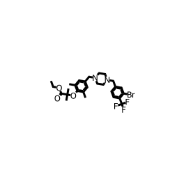 CCOC(=O)C(C)(C)Oc1c(C)cc(CN2CCN(Cc3ccc(C(F)(F)F)c(Br)c3)CC2)cc1C